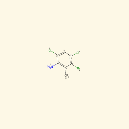 Nc1c(Cl)[c]c(Cl)c(Br)c1C(F)(F)F